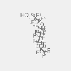 O=S(=O)(O)C(F)(F)C(F)(F)OC(F)(F)C(F)(F)C(F)(F)C(F)(F)OC(F)(F)C(F)F